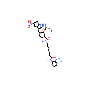 COc1cc(C(=O)NCCCCCCC(=O)Nc2ccccc2N)ccc1Cc1c[nH]c2ccc([N+](=O)[O-])cc12